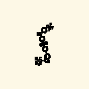 CC(C)c1cnc2ccc(-c3ccc(S(=O)(=O)N4CCC(Nc5ccc(OC(F)(F)F)cc5)CC4)cc3)cn12